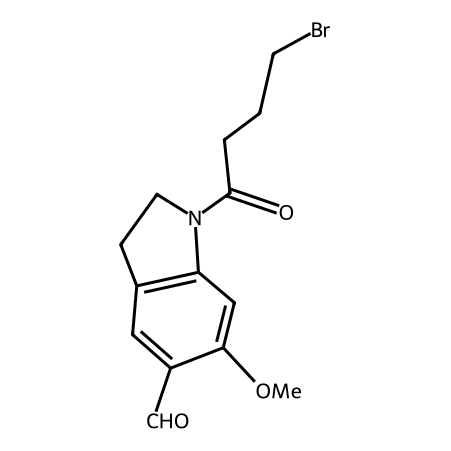 COc1cc2c(cc1C=O)CCN2C(=O)CCCBr